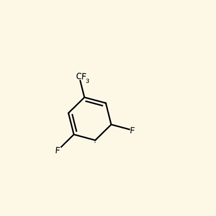 FC1=CC(C(F)(F)F)=CC(F)[CH]1